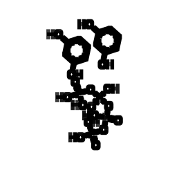 O=P(O)(O)OP(=O)(O)OP(=O)(O)OP(=O)(O)O.Oc1cccc(O)c1.Oc1cccc(O)c1